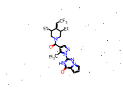 CCC1CN(C(=O)c2cnn(-c3nn4cccc4c(=O)[nH]3)c2C)CC(CC)C1=CC(F)(F)F